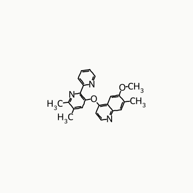 COc1cc2c(Oc3cc(C)c(C)nc3-c3ccccn3)ccnc2cc1C